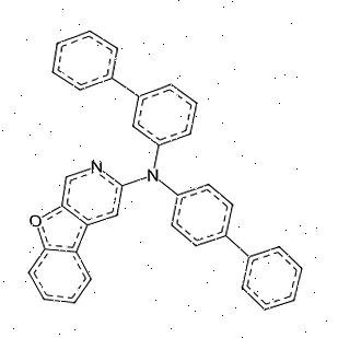 c1ccc(-c2ccc(N(c3cccc(-c4ccccc4)c3)c3cc4c(cn3)oc3ccccc34)cc2)cc1